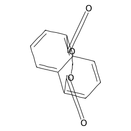 O=C1OCCOC(=O)c2cccc3c1cccc23